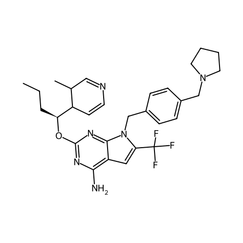 CCC[C@H](Oc1nc(N)c2cc(C(F)(F)F)n(Cc3ccc(CN4CCCC4)cc3)c2n1)C1C=CN=CC1C